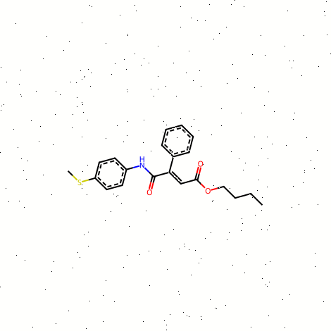 CCCCOC(=O)/C=C(/C(=O)Nc1ccc(SC)cc1)c1ccccc1